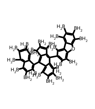 BC1=C(B)C(B)c2c1c(-c1c(B)c(B)c3oc4c(B)c(B)c(B)c(B)c4c3c1B)c1c(B)c(B)c(B)c(B)c1c2-c1c(B)c(B)c(B)c2c(B)c(B)c(B)c(B)c12